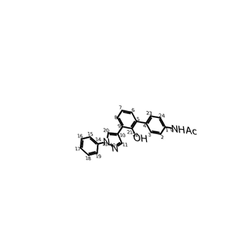 CC(=O)Nc1ccc(-c2cccc(-c3cnn(-c4ccccc4)c3)c2O)cc1